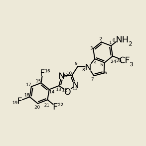 Nc1ccc2c(ccn2Cc2noc(-c3c(F)cc(F)cc3F)n2)c1C(F)(F)F